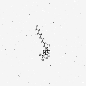 CCCCCCCCCCC(C)C1=NC(C(C)(C)C)CO1